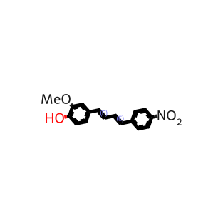 COc1cc(/C=C/C=C/c2ccc([N+](=O)[O-])cc2)ccc1O